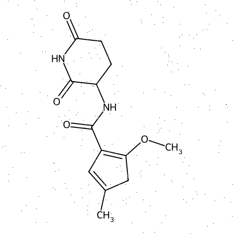 COC1=C(C(=O)NC2CCC(=O)NC2=O)C=C(C)C1